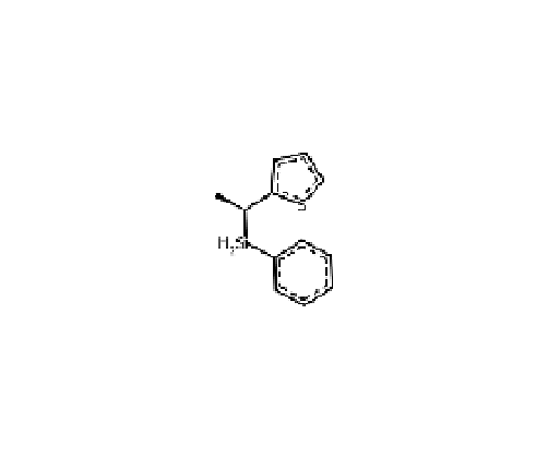 C[C@H]([SiH2]c1ccccc1)c1cccs1